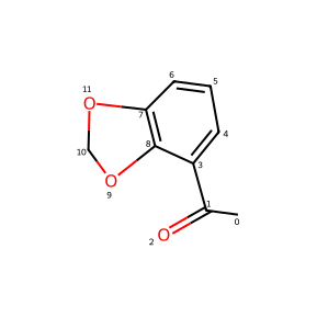 CC(=O)c1cccc2c1OCO2